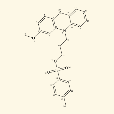 COc1ccc2c(c1)N(CCCOS(=O)(=O)c1ccc(C)cc1)c1ccccc1S2